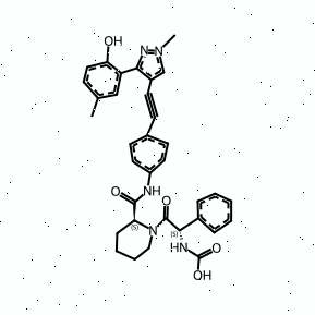 Cc1ccc(O)c(-c2nn(C)cc2C#Cc2ccc(NC(=O)[C@@H]3CCCCN3C(=O)[C@@H](NC(=O)O)c3ccccc3)cc2)c1